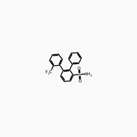 NS(=O)(=O)c1cccc(-c2ccccc2C(F)(F)F)c1-c1ccccc1